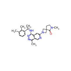 Cc1cccc([C@@H](C)Nc2nnc(C)c3cnc(N4CC5(CCN(C)C5=O)C4)cc23)c1C